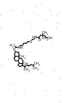 C=C(NCCCCCOCCNC(=O)CC(C)(C)CCO)O[C@H]1CC[C@@]2(C)C(=CCC3C4CCC(C(C)CCCC(C)C)[C@@]4(C)CCC32)C1